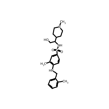 Cc1ccccc1CNc1ccc(S(=O)(=O)NC(CO)C2CCN(C)CC2)cc1C